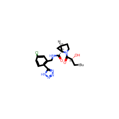 CC(C)(C)C[C@@H](O)C(=O)N1CC[C@@H]2C[C@@]21C(=O)NCc1cc(Cl)ccc1-c1nnn[nH]1